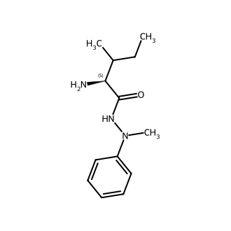 CCC(C)[C@H](N)C(=O)NN(C)c1ccccc1